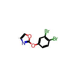 Brc1ccc(Oc2n[c]co2)cc1Br